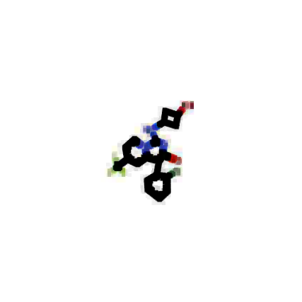 O=c1nc(NC2CC(O)C2)n2ccc(C(F)(F)F)cc2c1-c1ccccc1Cl